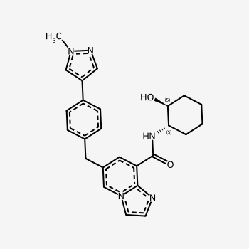 Cn1cc(-c2ccc(Cc3cc(C(=O)N[C@H]4CCCC[C@@H]4O)c4nccn4c3)cc2)cn1